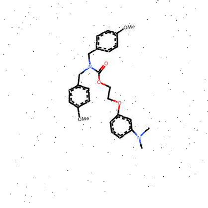 COc1ccc(CN(Cc2ccc(OC)cc2)C(=O)OCCOc2cccc(N(C)C)c2)cc1